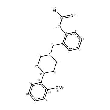 CCC(=O)Oc1ccccc1CN1CCN(c2ccccc2OC)CC1